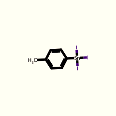 Cc1cc[c]([Sn]([I])([I])[I])cc1